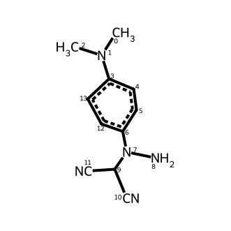 CN(C)c1ccc(N(N)C(C#N)C#N)cc1